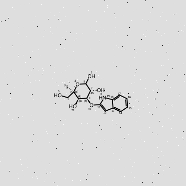 OC[C@@]1(I)OC(O)[C@H](O)[C@@H](Oc2cc3ccccc3[nH]2)[C@H]1O